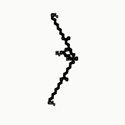 CCCCCCCCCOC(=O)CCCCCOP(=O)(NCCN(C)C)OCCCCCC(=O)OCCCCCCCCC